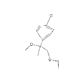 COC(C)(COSC)c1ccc(Cl)cc1